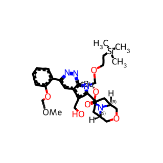 COCOc1ccccc1-c1cc2c(CO)c(C3C[C@H]4COC[C@@H](C3)N4C(=O)OC(C)(C)C)n(COCC[Si](C)(C)C)c2nn1